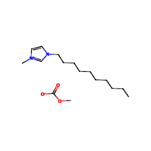 CCCCCCCCCCn1cc[n+](C)c1.COC(=O)[O-]